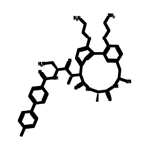 Cc1ccc(-c2ccc(C(=O)N[C@@H](CN)C(=O)N(C)C3C(=O)N[C@@H](C)C(=O)NC(C#N)Cc4ccc(OCCN)c(c4)-c4cc3ccc4OCCN)cc2)cc1